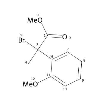 COC(=O)C(C)(Br)c1ccccc1OC